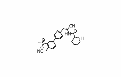 CS(=O)(=O)c1cc(-c2ccc(C[C@@H](C#N)NC(=O)C3CCCCN3)cc2)ccc1CC#N